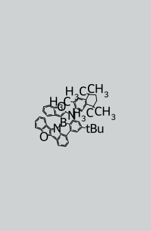 Cc1cc2c(cc1N1c3cc(C(C)(C)C)cc4c3B(c3c1oc1ccccc31)n1c3c-4cccc3c3oc4ccccc4c31)C(C)(C)CCC2(C)C